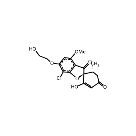 COc1cc(OCCO)c(Cl)c2c1C(=O)[C@@]1(O2)C(O)=CC(=O)C[C@H]1C